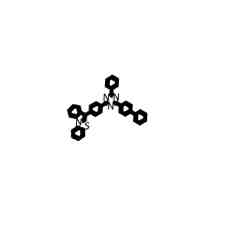 c1ccc(-c2ccc(-c3nc(-c4ccccc4)nc(-c4ccc(-c5c6ccccc6n6c5sc5ccccc56)cc4)n3)cc2)cc1